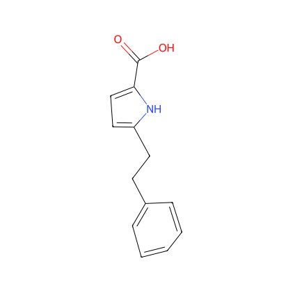 O=C(O)c1ccc(CCc2ccccc2)[nH]1